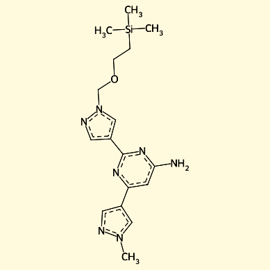 Cn1cc(-c2cc(N)nc(-c3cnn(COCC[Si](C)(C)C)c3)n2)cn1